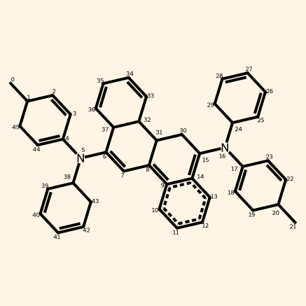 CC1C=CC(N(C2=CC3=c4ccccc4=C(N(C4=CCC(C)C=C4)C4C=CC=CC4)CC3C3C=CC=CC23)C2C=CC=CC2)=CC1